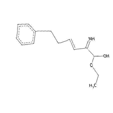 CCOC(O)C(=N)/C=C/CCc1ccccc1